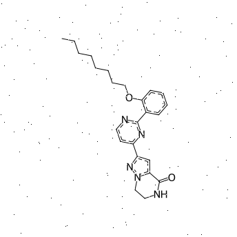 CCCCCCCCOc1ccccc1-c1nccc(-c2cc3n(n2)CCNC3=O)n1